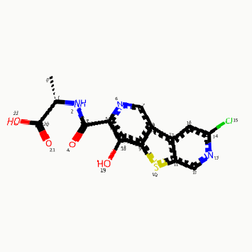 C[C@H](NC(=O)c1ncc2c(sc3cnc(Cl)cc32)c1O)C(=O)O